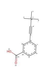 C[Si](C)(C)C#Cc1cccc(C(=O)O)c1